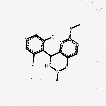 CSc1ncc2c(n1)C(c1c(Cl)cccc1Cl)NN(C)O2